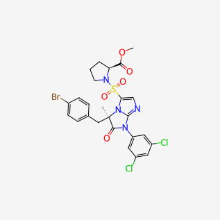 COC(=O)[C@@H]1CCCN1S(=O)(=O)c1cnc2n1[C@](C)(Cc1ccc(Br)cc1)C(=O)N2c1cc(Cl)cc(Cl)c1